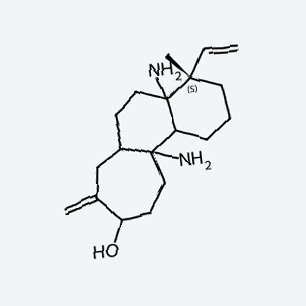 C=C[C@]1(C)CCCC2C3(N)CCC(O)C(=C)CC3CCC21N